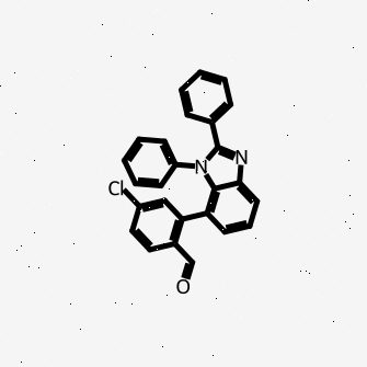 O=Cc1ccc(Cl)cc1-c1cccc2nc(-c3ccccc3)n(-c3ccccc3)c12